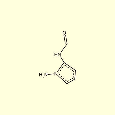 Nn1cccc1NC=O